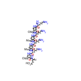 COc1ccc(NC(=O)[C@H](CCCCN)NC(=O)c2cc(NC(=O)[C@H](CCCCN)NC(=O)c3cc(NC(=O)[C@H](CCCCN)NC(=O)c4cc(NC(=O)[C@@H](N)CCCCN)ccc4OC)ccc3OC)ccc2OC)cc1C(=O)N[C@@H](CCC(=O)O)C(C)=O